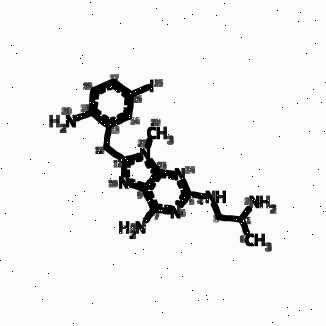 CC(N)CNc1nc(N)c2nc(Cc3cc(I)ccc3N)n(C)c2n1